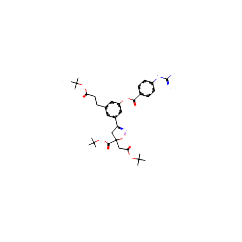 CC(C)(C)OC(=O)CCc1cc(OC(=O)c2ccc(NC(=N)N)cc2)cc(C2=NOC(CC(=O)OC(C)(C)C)(C(=O)OC(C)(C)C)C2)c1